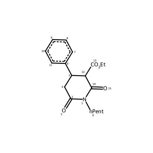 CCCCCN1C(=O)CC(c2ccccc2)C(C(=O)OCC)C1=O